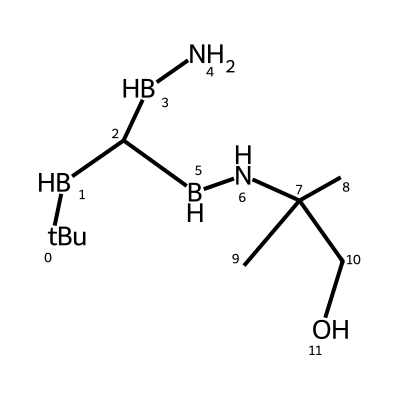 CC(C)(C)BC(BN)BNC(C)(C)CO